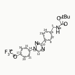 CC(C)(C)OC(=O)NCc1ccc(-c2ncn(-c3ccc(OC(F)(F)F)cc3)n2)cc1